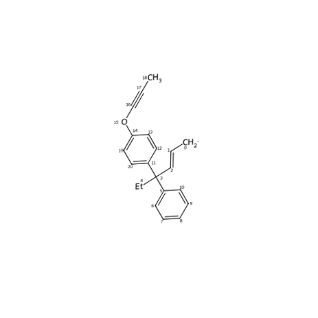 [CH2]C=CC(CC)(c1ccccc1)c1ccc(OC#CC)cc1